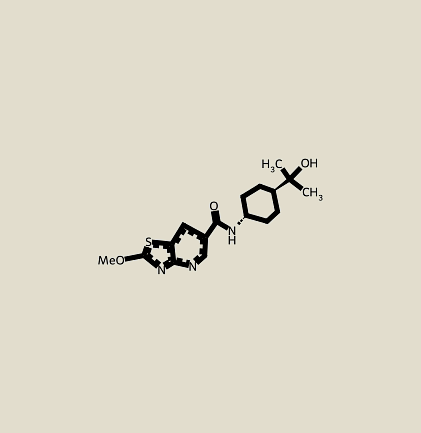 COc1nc2ncc(C(=O)N[C@H]3CC[C@H](C(C)(C)O)CC3)cc2s1